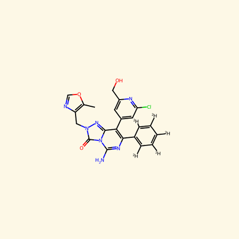 [2H]c1c([2H])c([2H])c(-c2nc(N)n3c(=O)n(Cc4ncoc4C)nc3c2-c2cc(Cl)nc(CO)c2)c([2H])c1[2H]